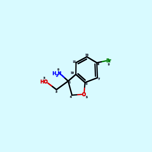 NC1(CO)COc2cc(Br)ccc21